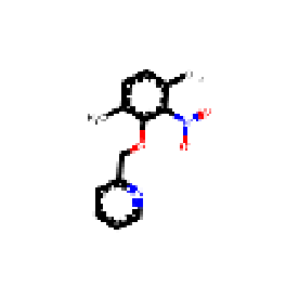 Cc1ccc(C)c([N+](=O)[O-])c1OCc1ccccn1